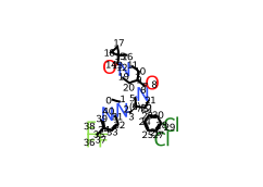 CCN(C[C@H]1CN(C(=O)C2CCN(C(=O)C3(C)CC3)CC2)C[C@@H]1c1ccc(Cl)c(Cl)c1)c1ccc(C(F)(F)F)cn1